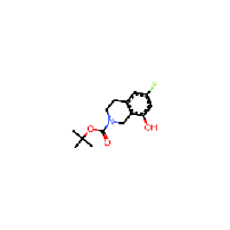 CC(C)(C)OC(=O)N1CCc2cc(F)cc(O)c2C1